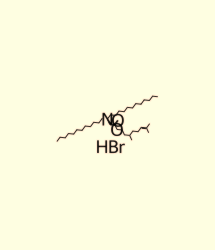 Br.CCCCCCCCCCCCN(CCCCCCCCCCCC)CC(=O)OCCC(C)CCC=C(C)C